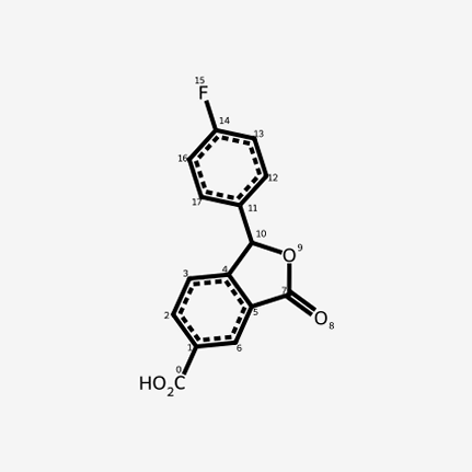 O=C(O)c1ccc2c(c1)C(=O)OC2c1ccc(F)cc1